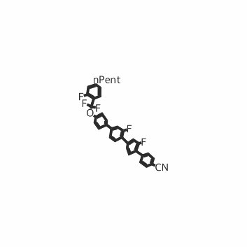 CCCCCc1ccc(C(F)(F)Oc2ccc(-c3ccc(-c4ccc(-c5ccc(C#N)cc5)c(F)c4)c(F)c3)cc2)c(F)c1